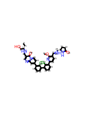 CC[C@@H](CO)NCc1cnc2cc(-c3cccc(-c4cccc(-c5ccc(CNC[C@@H]6CCC(=O)N6)c(OC)n5)c4Cl)c3Cl)ccn2c1=O